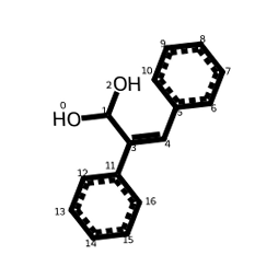 OC(O)C(=Cc1ccccc1)c1ccccc1